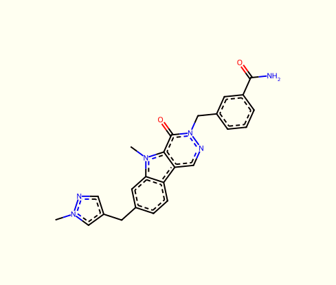 Cn1cc(Cc2ccc3c4cnn(Cc5cccc(C(N)=O)c5)c(=O)c4n(C)c3c2)cn1